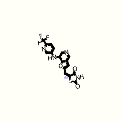 O=C1NC(=O)/C(=C\c2cc3cncc(Nc4ccc(C(F)(F)F)nc4)c3o2)S1